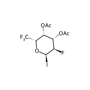 CC(=O)O[C@@H]1[C@@H](F)[C@@H](I)O[C@H](C(F)(F)F)[C@@H]1OC(C)=O